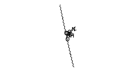 CCCCCCCCC=CCCCCCCCCOCC(COCCCCCCCCC=CCCCCCCCC)NS(=O)(=O)OCCN(CC)CC